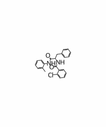 Cc1ccccc1NC(=O)C(Cc1ccccc1)NC(=O)c1ccccc1Cl